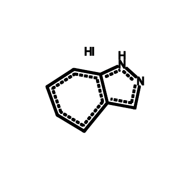 I.c1ccc2[nH]ncc2c1